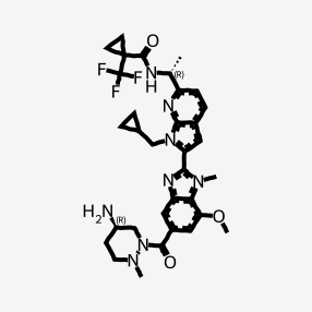 COc1cc(C(=O)N2C[C@H](N)CCN2C)cc2nc(-c3cc4ccc([C@@H](C)NC(=O)C5(C(F)(F)F)CC5)nc4n3CC3CC3)n(C)c12